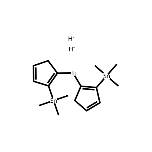 [CH3][Sn]([CH3])([CH3])[C]1=[C]([Ti][C]2=[C]([Sn]([CH3])([CH3])[CH3])C=CC2)CC=C1.[H-].[H-]